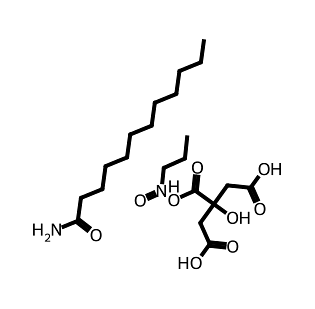 CCCCCCCCCCCC(N)=O.CCCN=O.O=C(O)CC(O)(CC(=O)O)C(=O)O